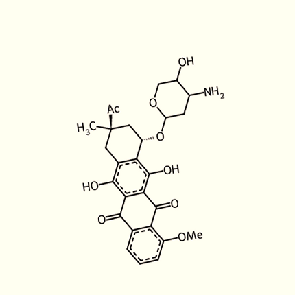 COc1cccc2c1C(=O)c1c(O)c3c(c(O)c1C2=O)C[C@@](C)(C(C)=O)C[C@@H]3OC1CC(N)C(O)CO1